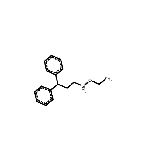 CCO[SiH2]CCC(c1ccccc1)c1ccccc1